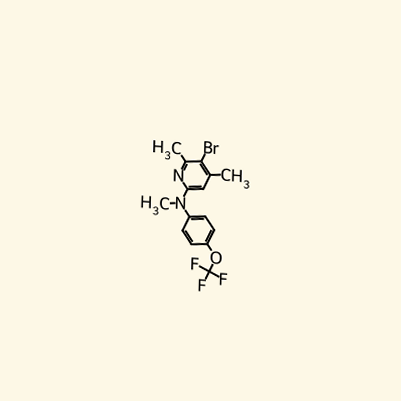 Cc1cc(N(C)c2ccc(OC(F)(F)F)cc2)nc(C)c1Br